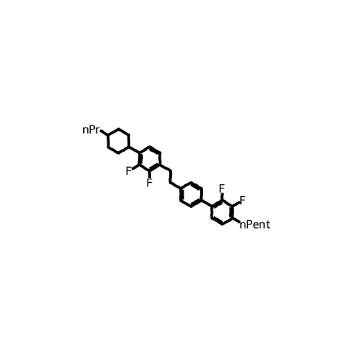 CCCCCc1ccc(-c2ccc(CCc3ccc(C4CCC(CCC)CC4)c(F)c3F)cc2)c(F)c1F